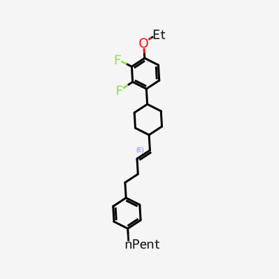 CCCCCc1ccc(CC/C=C/C2CCC(c3ccc(OCC)c(F)c3F)CC2)cc1